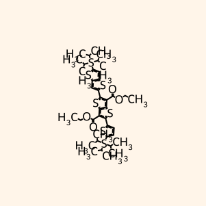 CCOC(=O)c1c(-c2ccc(S(C(C)C)(C(C)C)C(C)C)s2)sc2c(C(=O)OCC)c(-c3cc4sc(S(C(C)C)(C(C)C)C(C)C)cc4s3)sc12